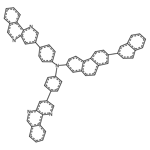 c1ccc2cc(-c3ccc4c(ccc5cc(N(c6ccc(-c7cnc8c(c7)ncc7ccccc78)cc6)c6ccc(-c7cnc8c(c7)ncc7ccccc78)cc6)ccc54)c3)ccc2c1